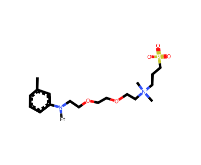 CCN(CCOCCOCC[N+](C)(C)CCCS(=O)(=O)[O-])c1cccc(C)c1